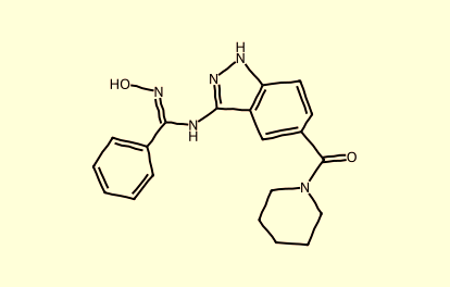 O=C(c1ccc2[nH]nc(NC(=NO)c3ccccc3)c2c1)N1CCCCC1